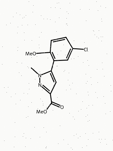 COC(=O)c1cc(-c2cc(Cl)ccc2OC)n(C)n1